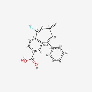 C=C1C=C(F)c2ccc(C(=O)O)cc2C(c2ccccc2)=C1